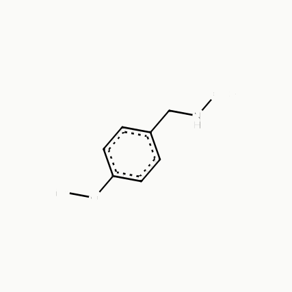 CC(C)Oc1ccc(CNC=O)cc1